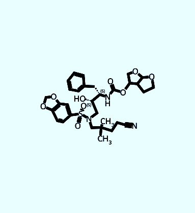 CC(C)(CCC#N)CN(C[C@H](O)[C@H](Cc1ccccc1)NC(=O)OC1COC2OCCC12)S(=O)(=O)c1ccc2c(c1)OCO2